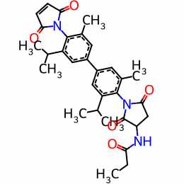 CCC(=O)NC1CC(=O)N(c2c(C)cc(-c3cc(C)c(N4C(=O)C=CC4=O)c(C(C)C)c3)cc2C(C)C)C1=O